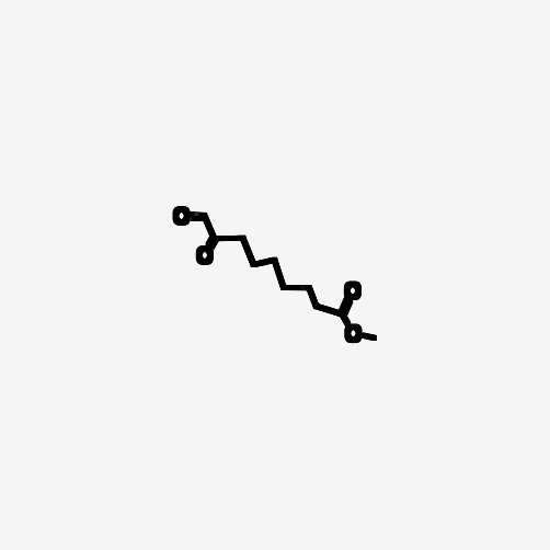 COC(=O)CCCCCCC(=O)C=O